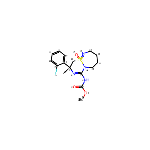 CC(C)(C)OC(=O)NC1=N[C@](C)(c2ccccc2F)C[S@]2(=O)=NCCCCN12